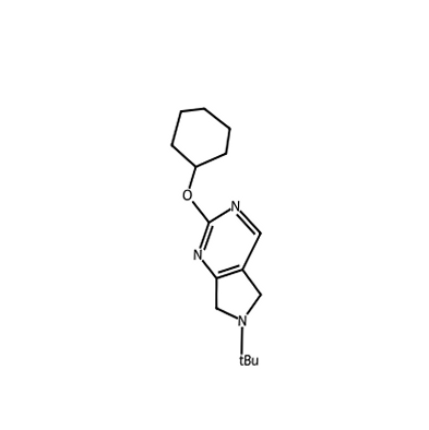 CC(C)(C)N1Cc2cnc(OC3CCCCC3)nc2C1